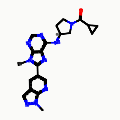 CCn1c(-c2cnc3c(cnn3C)c2)nc2c(N[C@H]3CCN(C(=O)C4CC4)C3)ncnc21